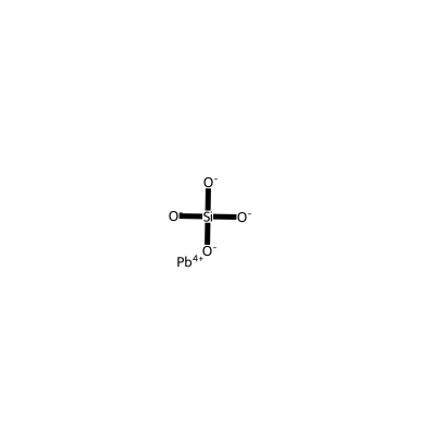 [O-][Si]([O-])([O-])[O-].[Pb+4]